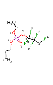 CCCOP(=O)(OCC)OC(F)(F)C(F)(F)CF